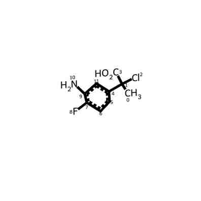 CC(Cl)(C(=O)O)c1ccc(F)c(N)c1